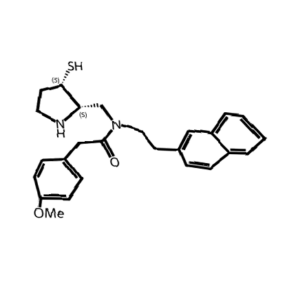 COc1ccc(CC(=O)N(CCc2ccc3ccccc3c2)C[C@@H]2NCC[C@@H]2S)cc1